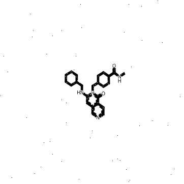 CNC(=O)C1CCC(Cn2c(NCC3CCCCC3)cc3cnccc3c2=O)CC1